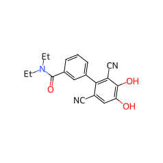 CCN(CC)C(=O)c1cccc(-c2c(C#N)cc(O)c(O)c2C#N)c1